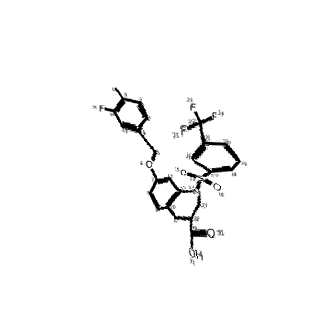 Cc1ccc(COc2ccc3c(c2)N(S(=O)(=O)c2cccc(C(F)(F)F)c2)CC(C(=O)O)C3)cc1F